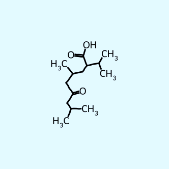 CC(C)CC(=O)CC(C)CC(C(=O)O)C(C)C